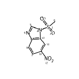 CS(=O)(=O)n1cnc2ccc([N+](=O)[O-])cc21